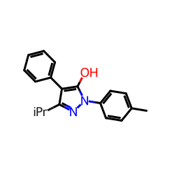 Cc1ccc(-n2nc(C(C)C)c(-c3ccccc3)c2O)cc1